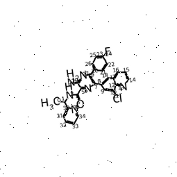 C[C@@H](NC(=O)c1nc(-c2cc(Cl)c3ncccc3c2)c(-c2ccc(F)cc2)nc1N)c1ccccn1